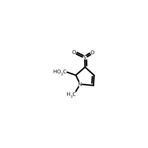 CN1C=CC(=S(=O)=O)C1C(=O)O